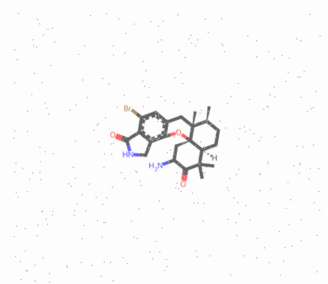 C[C@H]1CC[C@H]2C(C)(C)C(=O)C(N)C[C@]23Oc2c(cc(Br)c4c2CNC4=O)C[C@]13C